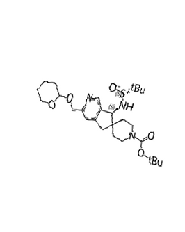 CC(C)(C)OC(=O)N1CCC2(CC1)Cc1cc(COC3CCCCO3)ncc1[C@H]2N[S@+]([O-])C(C)(C)C